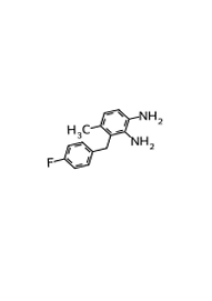 Cc1ccc(N)c(N)c1Cc1ccc(F)cc1